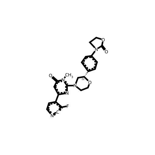 Cn1c(N2CCO[C@@H](c3ccc(N4CCOC4=O)cc3)C2)nc(-c2ccncc2F)cc1=O